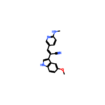 CNc1ccc(/C=C(\C#N)c2c[nH]c3ccc(OC)cc23)cn1